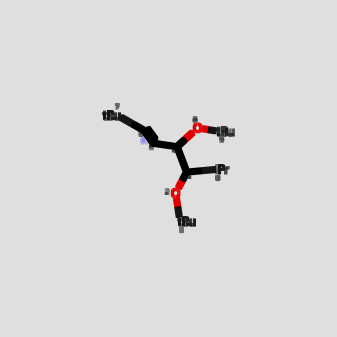 CC(C)C(OC(C)(C)C)C(/C=C/C(C)(C)C)OC(C)(C)C